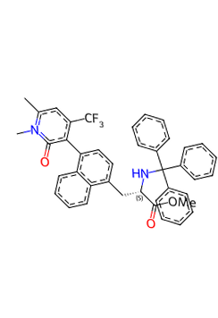 COC(=O)[C@H](Cc1ccc(-c2c(C(F)(F)F)cc(C)n(C)c2=O)c2ccccc12)NC(c1ccccc1)(c1ccccc1)c1ccccc1